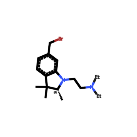 CCN(CC)CCN1c2cc(CBr)ccc2C(C)(C)[C@H]1C